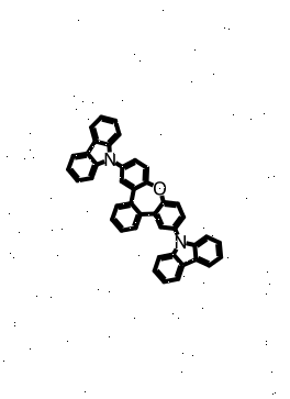 c1ccc2c(c1)-c1cc(-n3c4ccccc4c4ccccc43)ccc1Oc1ccc(-n3c4ccccc4c4ccccc43)cc1-2